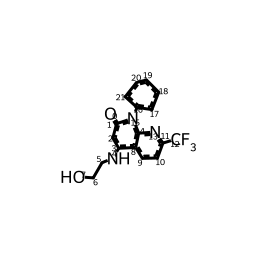 O=c1cc(NCCO)c2ccc(C(F)(F)F)nc2n1-c1ccccc1